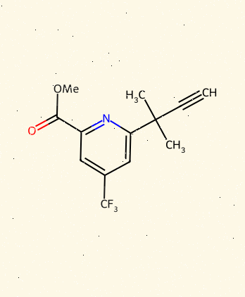 C#CC(C)(C)c1cc(C(F)(F)F)cc(C(=O)OC)n1